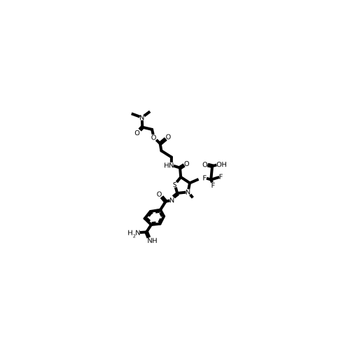 CC1C(C(=O)NCCC(=O)OCC(=O)N(C)C)SC(=NC(=O)c2ccc(C(=N)N)cc2)N1C.O=C(O)C(F)(F)F